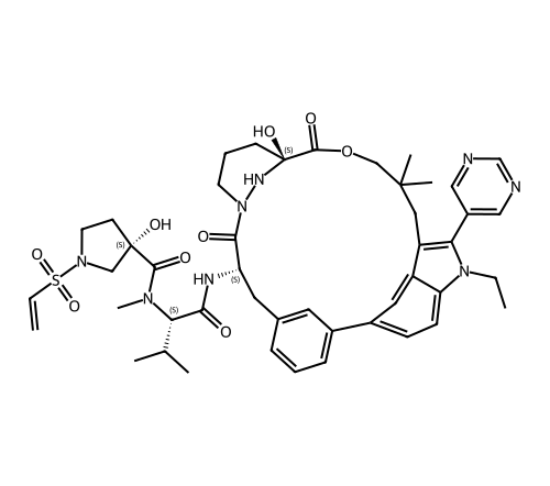 C=CS(=O)(=O)N1CC[C@@](O)(C(=O)N(C)[C@H](C(=O)N[C@H]2Cc3cccc(c3)-c3ccc4c(c3)c(c(-c3cncnc3)n4CC)CC(C)(C)COC(=O)[C@@]3(O)CCCN(N3)C2=O)C(C)C)C1